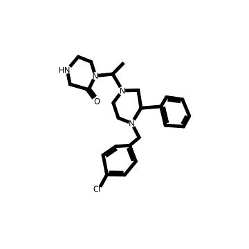 CC(N1CCN(Cc2ccc(Cl)cc2)C(c2ccccc2)C1)N1CCNCC1=O